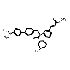 COC(=O)/C=C/c1cccc(N(Cc2ccc(-c3ccc(N(C)C)cc3)cc2)C(=O)[C@@H]2CCC[C@@H](O)C2)c1